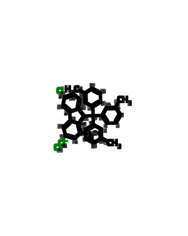 Cc1cccc(C(c2cccc(C)c2)(c2cccc(C)c2)C2c3ccccc3-c3ccc[c]([Ti+3])c32)c1.[Cl-].[Cl-].[Cl-]